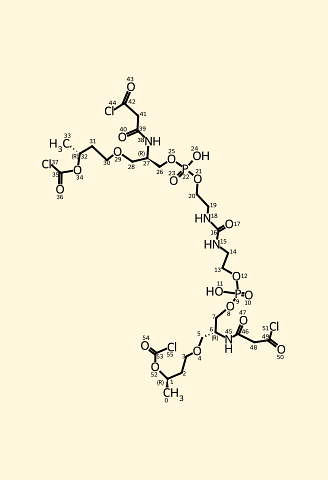 C[C@H](CCOC[C@H](COP(=O)(O)OCCNC(=O)NCCOP(=O)(O)OC[C@@H](COCC[C@@H](C)OC(=O)Cl)NC(=O)CC(=O)Cl)NC(=O)CC(=O)Cl)OC(=O)Cl